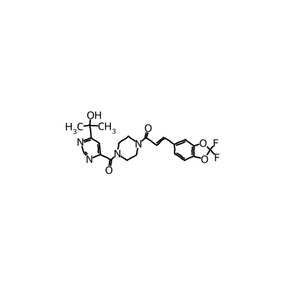 CC(C)(O)c1cc(C(=O)N2CCN(C(=O)/C=C/c3ccc4c(c3)OC(F)(F)O4)CC2)ncn1